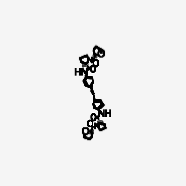 O=C(Nc1ccc(C#Cc2ccc(NC(=O)[C@@H]3CCCN3C(=O)[C@H]3CCCO3)cc2)cc1)[C@@H]1CCCN1C(=O)[C@H]1CCCO1